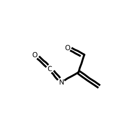 C=C(C=O)N=C=O